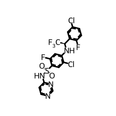 O=S(=O)(Nc1ccncn1)c1cc(Cl)c(N[C@H](c2cc(Cl)ccc2F)C(F)(F)F)cc1F